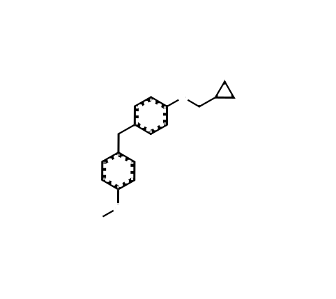 COc1ccc(Cc2ccc(OCC3CC3)cc2)cc1